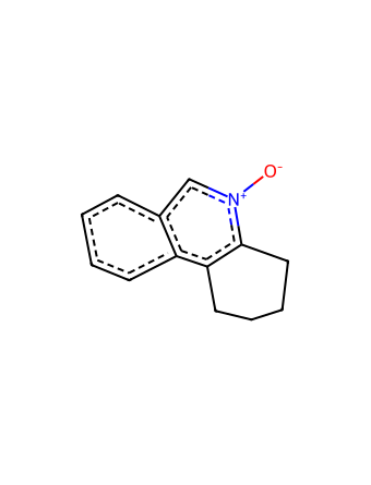 [O-][n+]1cc2ccccc2c2c1CCCC2